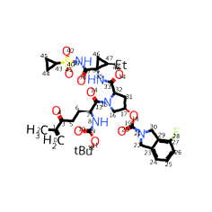 C=C(C)C(=O)CC[C@H](NC(=O)OC(C)(C)C)C(=O)N1C[C@H](OC(=O)N2Cc3cccc(F)c3C2)CC1C(=O)N[C@]1(C(=O)NS(=O)(=O)C2CC2)C[C@H]1CC